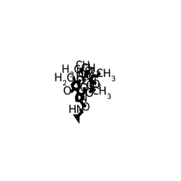 C=Cc1cc(C=O)c(-c2ccc(C(=O)NCC3CC3)nc2C(=O)OC(C)OC(=O)[C@@H](NC(=O)OC(C)(C)C)[C@@H](C)CC)cc1OC